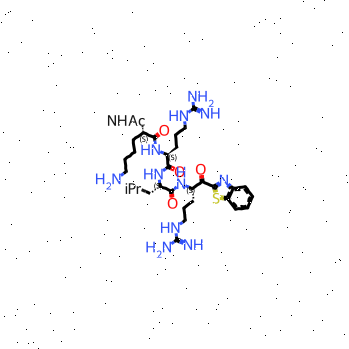 CC(=O)N[C@@H](CCCCN)C(=O)N[C@@H](CCCNC(=N)N)C(=O)N[C@@H](CC(C)C)C(=O)N[C@@H](CCCNC(=N)N)C(=O)c1nc2ccccc2s1